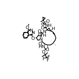 COc1nnc(O[C@@H]2C[C@H]3C(=O)N[C@]4(C(=O)NS(=O)(=O)C5(C)CC5)C[C@@H]4/C=C\CC[C@H](C)C[C@@H](C)[C@H](NC(=O)OC(C)(C)C(F)(F)F)C(=O)N3C2)c2ccccc12